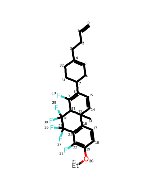 C=CCCC1=CCC(C2=C(F)C3C(C)(C=C2)c2ccc(OCC)c(F)c2C(F)(F)C3(F)F)CC1